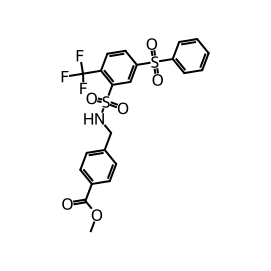 COC(=O)c1ccc(CNS(=O)(=O)c2cc(S(=O)(=O)c3ccccc3)ccc2C(F)(F)F)cc1